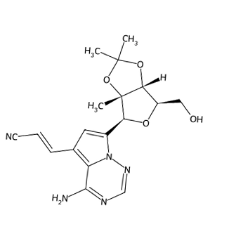 CC1(C)O[C@@H]2[C@@H](CO)O[C@@H](c3cc(/C=C/C#N)c4c(N)ncnn34)[C@]2(C)O1